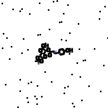 CC1(C)OC2OC3C(OC(=O)/C=C/c4ccc(O)cc4)C(O)OC3C2O1